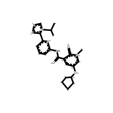 CC(C)n1cnnc1-c1cccc(NC(=O)c2cc(OC3CCCC3)cn(C)c2=O)n1